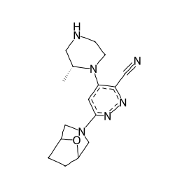 C[C@@H]1CNCCN1c1cc(N2CC3CCC(C2)O3)nnc1C#N